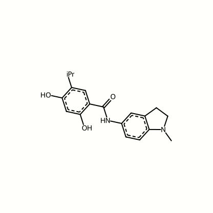 CC(C)c1cc(C(=O)Nc2ccc3c(c2)CCN3C)c(O)cc1O